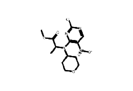 COC(=O)C(C)N(c1nc(Cl)ncc1[N+](=O)[O-])C1CCOCC1